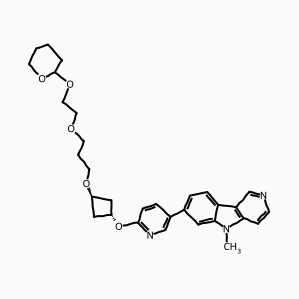 Cn1c2ccncc2c2ccc(-c3ccc(O[C@H]4C[C@H](OCCCOCCOC5CCCCO5)C4)nc3)cc21